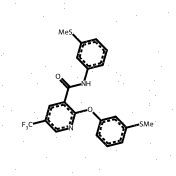 CSc1cccc(NC(=O)c2cc(C(F)(F)F)cnc2Oc2cccc(SC)c2)c1